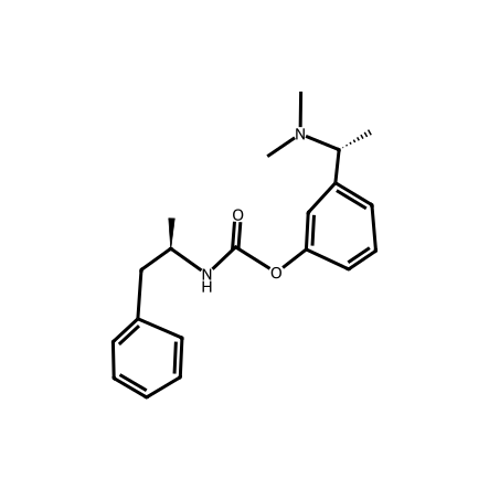 C[C@H](Cc1ccccc1)NC(=O)Oc1cccc([C@@H](C)N(C)C)c1